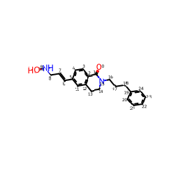 O=C1c2ccc(/C=C/CNO)cc2CCN1CCCc1ccccc1